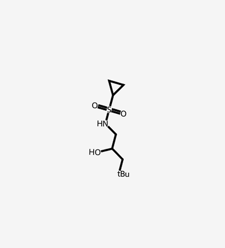 CC(C)(C)CC(O)CNS(=O)(=O)C1CC1